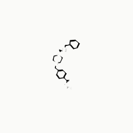 O=C(NO)c1ccc(CN2CCN(C(=O)NC(=O)c3ccccc3)CC2)cc1